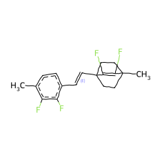 Cc1ccc(/C=C/C23CCC(C)(CC2)C(F)=C3F)c(F)c1F